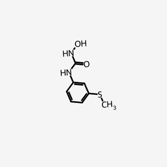 CSc1cccc(NC(=O)NO)c1